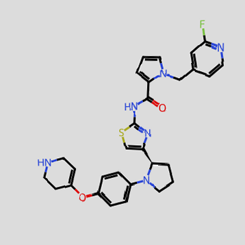 O=C(Nc1nc([C@H]2CCCN2c2ccc(OC3=CCNCC3)cc2)cs1)c1cccn1Cc1ccnc(F)c1